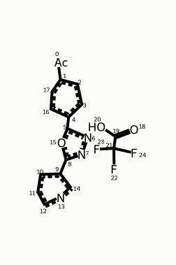 CC(=O)c1ccc(-c2nnc(-c3cccnc3)o2)cc1.O=C(O)C(F)(F)F